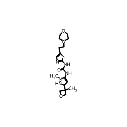 CN1NC(C2(C)COC2)C=C1NC(=O)Nc1ncc(CCN2CCOCC2)s1